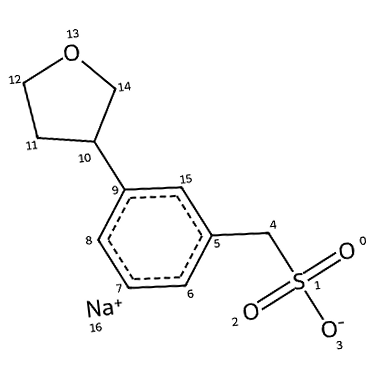 O=S(=O)([O-])Cc1cccc(C2CCOC2)c1.[Na+]